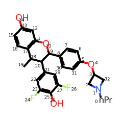 CCCN1CC(Oc2ccc(C3Oc4cc(O)ccc4C(C)C3c3cc(F)c(O)c(F)c3)cc2)C1